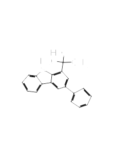 CC(C)(C)c1cc(-c2ccccc2)cc2c1sc1ccccc12